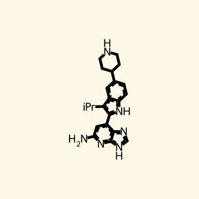 CC(C)c1c(-c2cc(N)nc3[nH]cnc23)[nH]c2ccc(C3CCNCC3)cc12